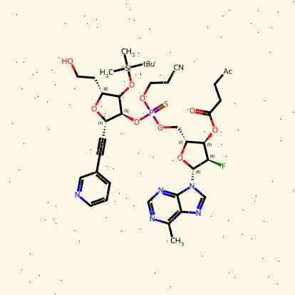 CC(=O)CCC(=O)O[C@H]1[C@@H](F)[C@H](n2cnc3c(C)ncnc32)O[C@@H]1COP(=S)(OCCC#N)O[C@@H]1C(O[Si](C)(C)C(C)(C)C)[C@@H](CCO)O[C@H]1C#Cc1cccnc1